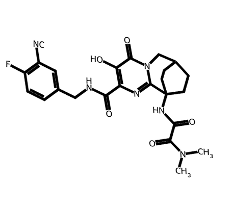 [C-]#[N+]c1cc(CNC(=O)c2nc3n(c(=O)c2O)CC2CCC3(NC(=O)C(=O)N(C)C)CC2)ccc1F